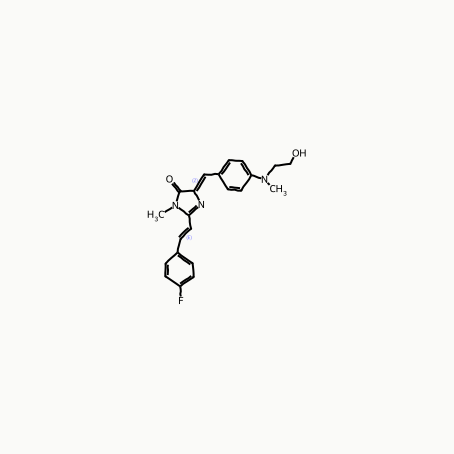 CN1C(=O)/C(=C/c2ccc(N(C)CCO)cc2)N=C1/C=C/c1ccc(F)cc1